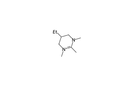 CCC1CN(C)C(C)=[N+](C)C1